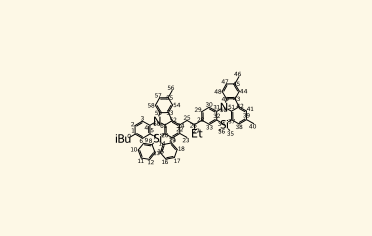 CCC(C)c1ccc2c(c1)[Si](c1ccccc1)(c1ccccc1)c1cc(C)c(CC(CC)c3ccc4c(c3)[Si](C)(C)c3cc(C)cc5c6cc(C)ccc6n-4c35)c3c4cc(C)ccc4n-2c13